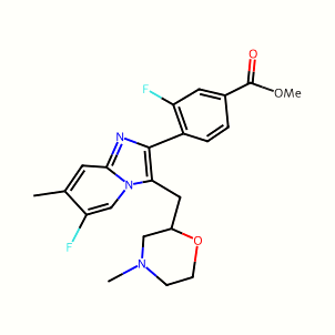 COC(=O)c1ccc(-c2nc3cc(C)c(F)cn3c2CC2CN(C)CCO2)c(F)c1